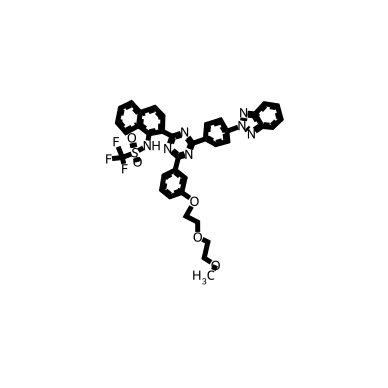 COCCOCCOc1cccc(-c2nc(-c3ccc(-n4nc5ccccc5n4)cc3)nc(-c3ccc4ccccc4c3NS(=O)(=O)C(F)(F)F)n2)c1